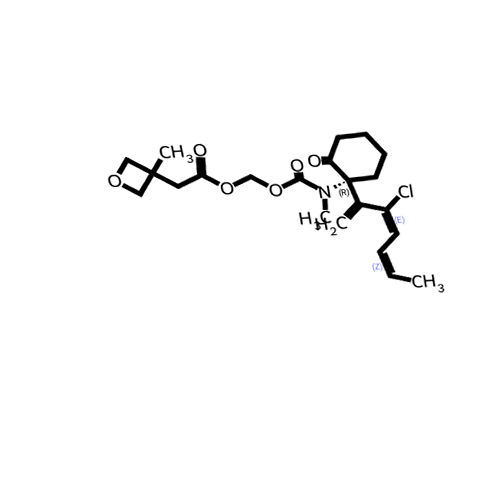 C=C(/C(Cl)=C\C=C/C)[C@]1(N(C)C(=O)OCOC(=O)CC2(C)COC2)CCCCC1=O